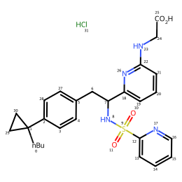 CCCCC1(c2ccc(CC(NS(=O)(=O)c3ccccn3)c3cccc(NCC(=O)O)n3)cc2)CC1.Cl